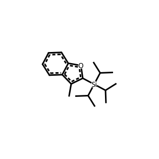 Cc1c([Si](C(C)C)(C(C)C)C(C)C)oc2ccccc12